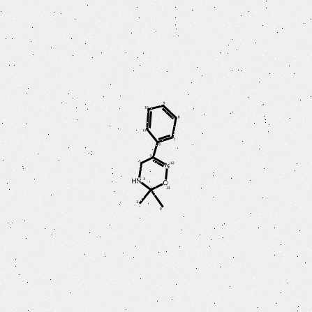 CC1(C)NCC(c2ccccc2)=NO1